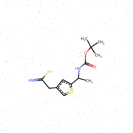 CC(NC(=O)OC(C)(C)C)c1cc(CC(=N)S)cs1